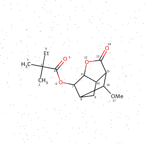 CCC(C)(C)C(=O)OC1C2CC3C1OC(=O)C3C2OC